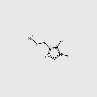 Cc1c([CH]CBr)ncn1C